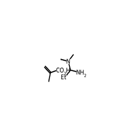 C=C(C)C(=O)O.CCC(N)N(C)C